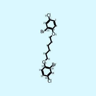 Clc1ccc(OCCCCCCOc2ccc(Cl)cc2Br)c(Br)c1